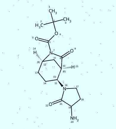 CC(C)(C)OC(=O)N1C(=O)[C@@H]2C[C@H]1CC[C@@H]2N1CCC(N)C1=O